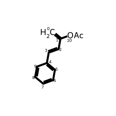 C=C(/C=C/c1ccccc1)OC(C)=O